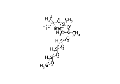 C[Si](C)(C)O[Si](C)(C)O[Si](C)(C)O[SiH2]O[SiH2]O[SiH2]O[SiH3]